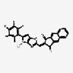 Cn1c(-c2c(F)c(F)c(F)c(F)c2F)cc2oc(C=C3C(=O)c4cc5ccccc5cc4C3=O)nc21